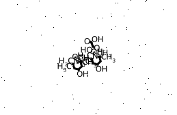 CC1(C)CC(O)CC(C)(C)N1O.CC1(C)CC(O)CC(C)(C)N1O.O=C(O)C(=O)O